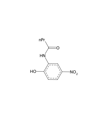 CCCC(=O)Nc1cc([N+](=O)[O-])ccc1O